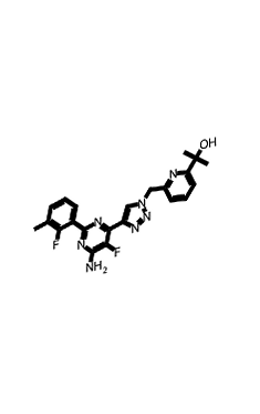 Cc1cccc(-c2nc(N)c(F)c(-c3cn(Cc4cccc(C(C)(C)O)n4)nn3)n2)c1F